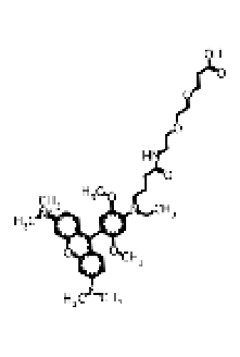 CCN(CCCC(=O)NCCOCCOCCC(=O)O)c1cc(OC)c(-c2c3ccc(=[N+](C)C)cc-3oc3cc(N(C)C)ccc23)cc1OC